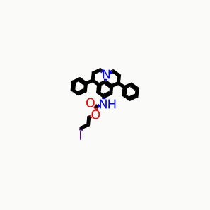 O=C(Nc1cc2c3c(c1)C(c1ccccc1)CCN3CCC2c1ccccc1)OCCCI